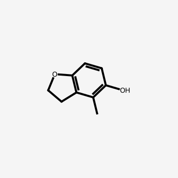 Cc1c(O)ccc2c1CCO2